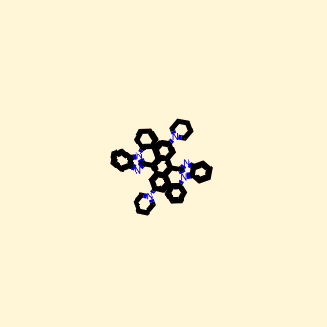 C1=CCCC(n2c(-c3c4cc(N5CCCCC5)ccc4c(-c4nc5ccccc5n4-c4ccccc4)c4cc(N5CCCCC5)ccc34)nc3ccccc32)=C1